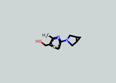 Cc1nc(N2CC3CC3C2)ccc1CO